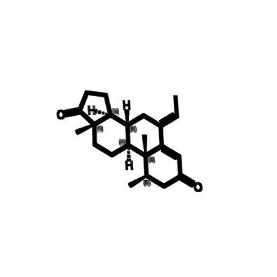 CC=C1C[C@@H]2[C@H](CC[C@]3(C)C(=O)CC[C@@H]23)[C@]2(C)C1=CC(=O)C[C@H]2C